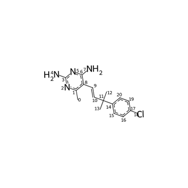 Cc1nc(N)nc(N)c1C=CC(C)(C)c1ccc(Cl)cc1